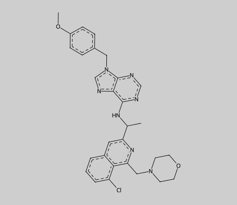 COc1ccc(Cn2cnc3c(NC(C)c4cc5cccc(Cl)c5c(CN5CCOCC5)n4)ncnc32)cc1